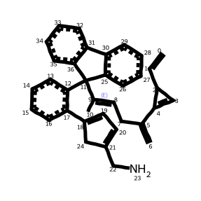 C=CC1C=C1C(=C)C/C=C(\C)C1(c2ccccc2C2=CC=C(CN)C2)c2ccccc2-c2ccccc21